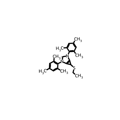 CCSC1C2=C1N(c1c(C)cc(C)cc1C)[C]N2c1c(C)cc(C)cc1C